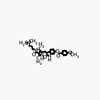 COc1ccc(C(=O)Oc2ccc3c(c2)NC(=O)/C3=C\c2[nH]c(C)c(C(=O)NCCCN(C)C)c2C)cc1